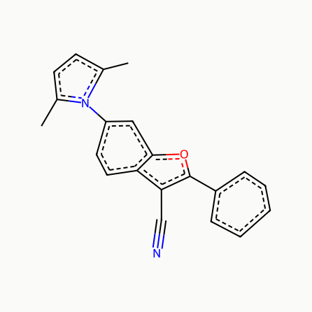 Cc1ccc(C)n1-c1ccc2c(C#N)c(-c3ccccc3)oc2c1